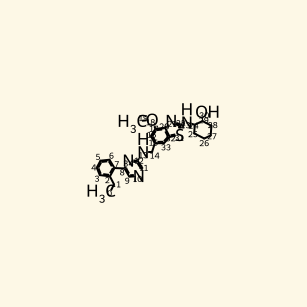 CCc1ccccc1-c1cncc(NCc2cc(OC)c3nc(NC4CCCC[C@H]4O)sc3c2)n1